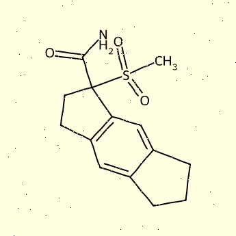 CS(=O)(=O)C1(C(N)=O)CCc2cc3c(cc21)CCC3